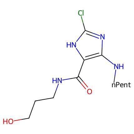 CCCCCNc1nc(Cl)[nH]c1C(=O)NCCCO